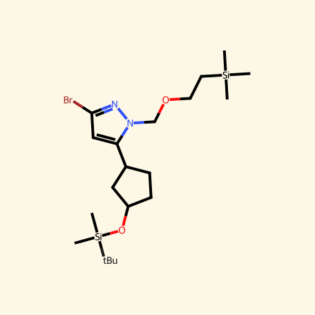 CC(C)(C)[Si](C)(C)OC1CCC(c2cc(Br)nn2COCC[Si](C)(C)C)C1